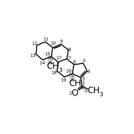 CC(=O)C1=CCC2C3CC=C4CCCC[C@]4(C)C3CC[C@]12C